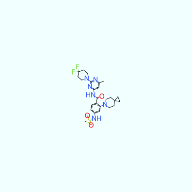 Cc1cc(NC(=O)c2ccc(NS(C)(=O)=O)cc2N2CCC3(CC2)CC3)nc(N2CCC(F)(F)CC2)n1